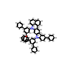 c1ccc(-c2cc(-c3ccccc3)cc(N3c4cc5c(cc4-c4cccc6cccc3c46)c3cc(-c4ccccc4)ccc3n5-c3cc(-c4ccccc4)cc(-c4ccccc4)c3)c2)cc1